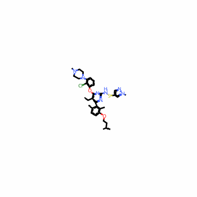 CCc1c(Oc2cccc(N3CCN(C)CC3)c2Cl)nc(NSc2cnn(C)c2)nc1-c1c(C)ccc(OCCC(C)C)c1C